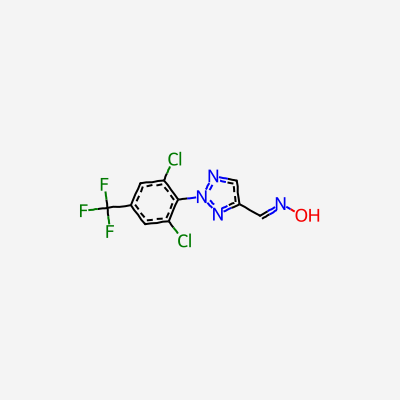 O/N=C/c1cnn(-c2c(Cl)cc(C(F)(F)F)cc2Cl)n1